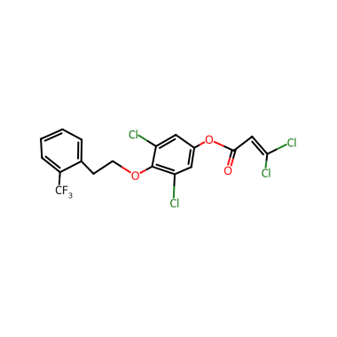 O=C(C=C(Cl)Cl)Oc1cc(Cl)c(OCCc2ccccc2C(F)(F)F)c(Cl)c1